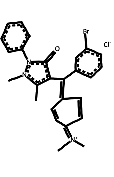 Cc1c(C(=C2C=CC(=[N+](C)C)C=C2)c2cccc(Br)c2)c(=O)n(-c2ccccc2)n1C.[Cl-]